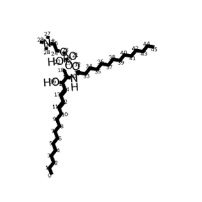 CCCCCCCCCCC/C=C/C=C/C(O)C(COP(=O)(O)OCC[N+](C)(C)C)NC(=O)CCCCCCCCCCCCC